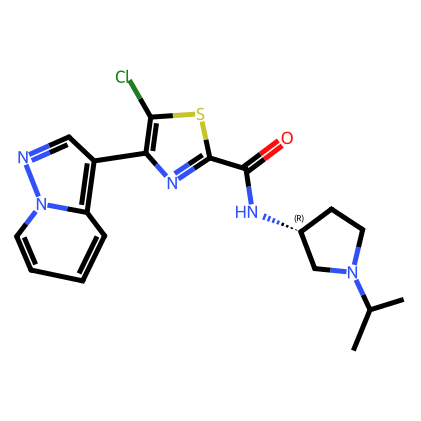 CC(C)N1CC[C@@H](NC(=O)c2nc(-c3cnn4ccccc34)c(Cl)s2)C1